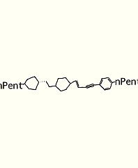 CCCCCc1ccc(C#C/C=C/C2CCC(CC[C@H]3CC[C@H](CCCCC)CC3)CC2)cc1